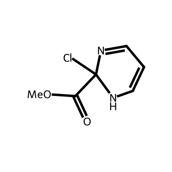 COC(=O)C1(Cl)N=CC=CN1